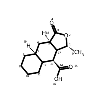 C[C@H]1OC(=O)[C@@H]2C[C@@H]3CCCCC3[C@H](C(=O)O)C12